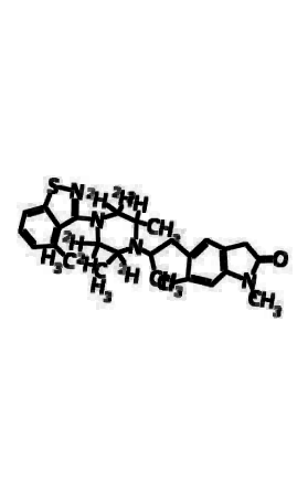 [2H]C1([2H])N(c2nsc3cccc(C)c23)C([2H])([2H])C([2H])(C)N(C(C)Cc2cc3c(cc2Cl)N(C)C(=O)C3)C1([2H])C